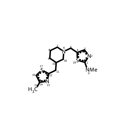 CNc1ncc(CN2CCCC(Cc3nc(C)cs3)C2)s1